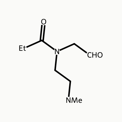 CCC(=O)N(CC=O)CCNC